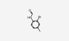 Cc1ccc(NC=O)c(Br)c1